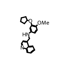 COc1ccc(NCc2ccnc3ccccc23)cc1OC1CCCC1